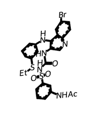 CCSc1cccc(Nc2c(NC(=O)NS(=O)(=O)c3cccc(NC(C)=O)c3)cnc3ccc(Br)cc23)c1